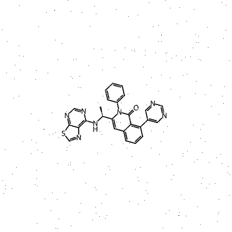 C[C@H](Nc1ncnc2scnc12)c1cc2cccc(-c3cncnc3)c2c(=O)n1-c1ccccc1